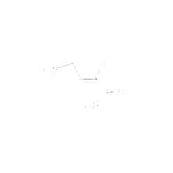 C[C@@H](N)C(=O)CCN